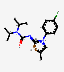 Cc1cn(-c2ccc(F)cc2)/c(=N/C(=O)N(C(C)C)C(C)C)s1